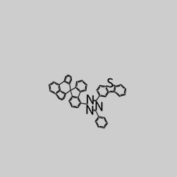 c1ccc(-c2nc(-c3ccc4sc5ccccc5c4c3)nc(-c3cccc4c3-c3ccccc3C43c4ccccc4-c4cccc5cccc3c45)n2)cc1